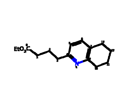 CCOC(=O)CCCc1ccc2c(n1)CCCC2